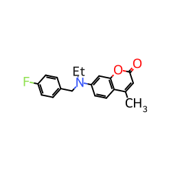 CCN(Cc1ccc(F)cc1)c1ccc2c(C)cc(=O)oc2c1